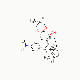 CCN(CC)c1ccc([C@H]2C[C@]3(C)C(=O)CC[C@H]3[C@@H]3CC[C@@]4(O)CC5(CCC4=C32)OCC(C)(C)CO5)cc1